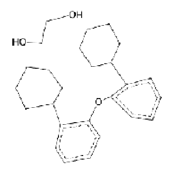 OCCO.c1ccc(C2CCCCC2)c(Oc2ccccc2C2CCCCC2)c1